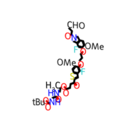 COc1cc2c(c(F)c1OCCCOc1c(OC)cc3sc(C(=O)CCC(=O)OC(C)CNC(=O)CNC(=O)OC(C)(C)C)cc3c1F)CN(C(=O)CCC=O)C2